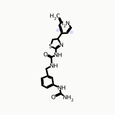 C=C/C=C(\C=C/N)C1CSC(NC(=O)NCc2cccc(NC(N)=O)c2)=N1